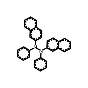 c1ccc(N(c2ccc3ccccc3c2)N(c2ccccc2)c2ccc3ccccc3c2)cc1